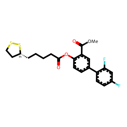 COC(=O)c1cc(-c2ccc(F)cc2F)ccc1OC(=O)CCCC[C@@H]1CCSS1